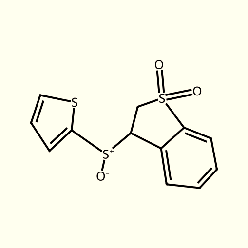 O=S1(=O)CC([S+]([O-])c2cccs2)c2ccccc21